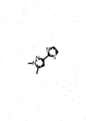 Cc1cc(-c2nccs2)nn1C